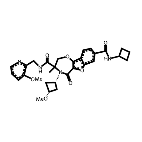 COc1cccnc1CNC(=O)C1(C)COc2c(oc3cc(C(=O)NC4CCC4)ccc23)C(=O)N1[C@H]1C[C@@H](OC)C1